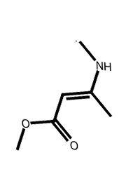 [CH2]NC(C)=CC(=O)OC